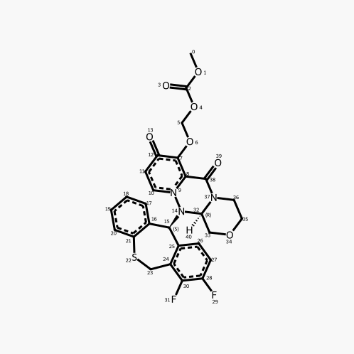 COC(=O)OCOc1c2n(ccc1=O)N([C@@H]1c3ccccc3SCc3c1ccc(F)c3F)[C@@H]1COCCN1C2=O